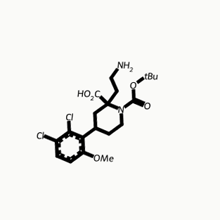 COc1ccc(Cl)c(Cl)c1C1CCN(C(=O)OC(C)(C)C)C(CCN)(C(=O)O)C1